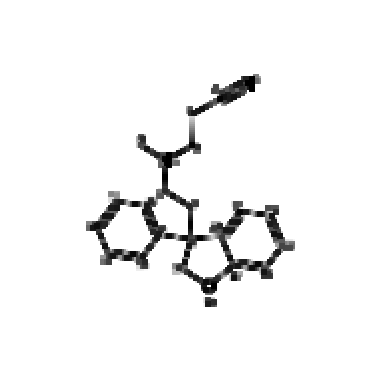 CN(CCC#N)CCC1(c2ccccc2)COc2ccccc21